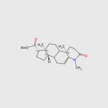 COC(=O)[C@H]1CC[C@H]2C3CC=C4N(C)C(=O)CC[C@]4(C)C3CC[C@]12C